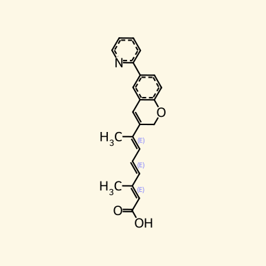 CC(/C=C/C=C(\C)C1=Cc2cc(-c3ccccn3)ccc2OC1)=C\C(=O)O